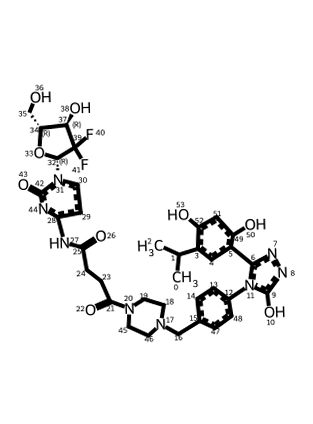 CC(C)c1cc(-c2nnc(O)n2-c2ccc(CN3CCN(C(=O)CCC(=O)Nc4ccn([C@@H]5O[C@H](CO)[C@@H](O)C5(F)F)c(=O)n4)CC3)cc2)c(O)cc1O